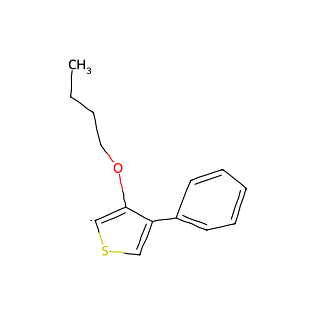 CCCCOc1[c]scc1-c1ccccc1